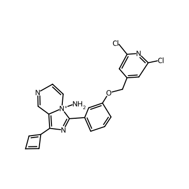 N[N+]12C=CN=CC1=C(C1=CC=C1)N=C2c1cccc(OCc2cc(Cl)nc(Cl)c2)c1